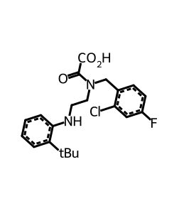 CC(C)(C)c1ccccc1NCCN(Cc1ccc(F)cc1Cl)C(=O)C(=O)O